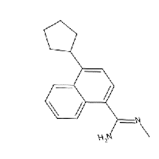 C/N=C(\N)c1ccc(C2CCCC2)c2ccccc12